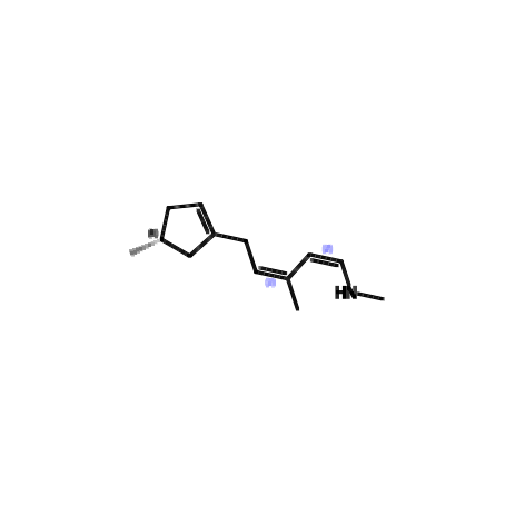 CN/C=C\C(C)=C/CC1=CC[C@@H](C)C1